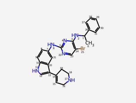 CC(Nc1nc(Nc2ccc3[nH]cc(C4=CCNCC4)c3c2)ncc1Br)c1ccccc1